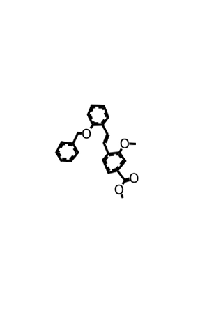 COC(=O)c1ccc(C=Cc2ccccc2OCc2ccccc2)c(OC)c1